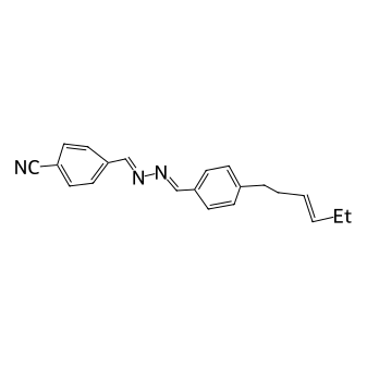 CC/C=C/CCc1ccc(C=NN=Cc2ccc(C#N)cc2)cc1